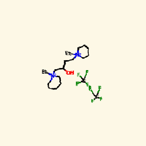 CC[N+]1(CCC(O)C[N+]2(CC)CCCCC2)CCCCC1.F[B-](F)(F)F.F[B-](F)(F)F